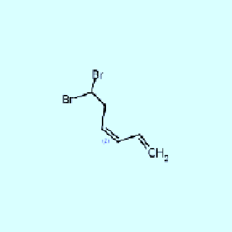 C=C/C=C\CC(Br)Br